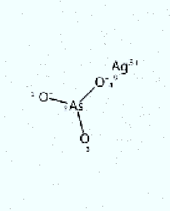 [Ag+3].[O-][As]([O-])[O-]